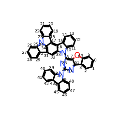 c1ccc2c(c1)oc1c(-n3c4ccccc4c4c5c6ccccc6n6c7ccccc7c(cc43)c56)nc(-n3c4ccccc4c4ccccc43)nc12